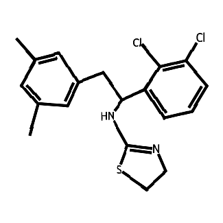 Cc1cc(C)cc(CC(NC2=NCCS2)c2cccc(Cl)c2Cl)c1